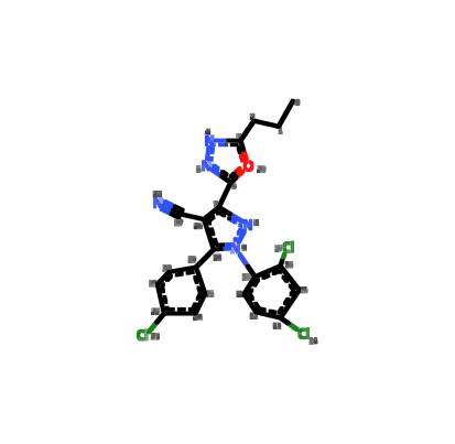 CCCc1nnc(-c2nn(-c3ccc(Cl)cc3Cl)c(-c3ccc(Cl)cc3)c2C#N)o1